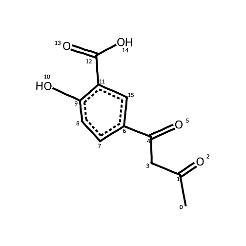 CC(=O)CC(=O)c1ccc(O)c(C(=O)O)c1